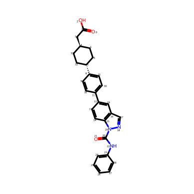 O=C(O)C[C@H]1CC[C@H](c2ccc(-c3ccc4c(cnn4C(=O)Nc4ccccc4)c3)cc2)CC1